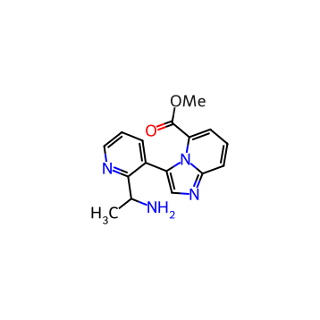 COC(=O)c1cccc2ncc(-c3cccnc3C(C)N)n12